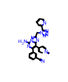 C=N/C=C\C(=C/C)c1c(-c2cccc(C#N)c2)nc(N)n2nc(Cn3nnnc3-c3ccccn3)nc12